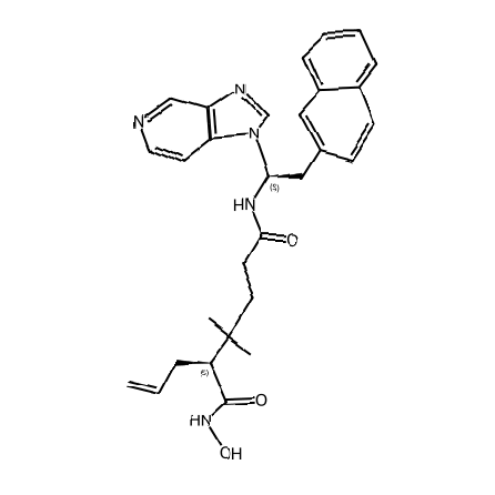 C=CC[C@H](C(=O)NO)C(C)(C)CCC(=O)N[C@H](Cc1ccc2ccccc2c1)n1cnc2cnccc21